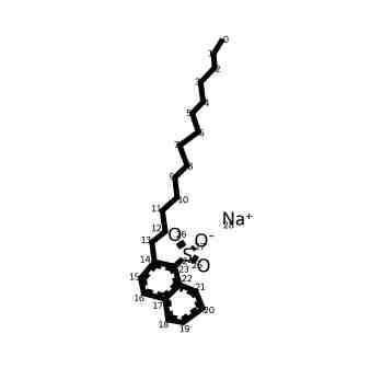 CCCCCCCCCCCCCCc1ccc2ccccc2c1S(=O)(=O)[O-].[Na+]